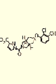 CC(C)COc1cccc(O[C@H]2C[C@@H]3CN(C(=O)n4ccc(C(=O)O)n4)C[C@@H]3C2)c1Cl